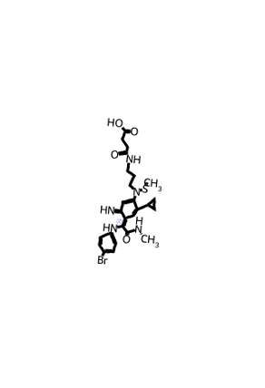 CNC(=O)/C(Nc1ccc(Br)cc1)=C1\C=C(C2CC2)C(N(CCCNC(=O)CCC(=O)O)SC)=CC1=N